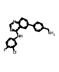 NCc1ccc(-c2ccc3ncnc(Nc4ccc(F)c(Cl)c4)c3c2)cc1